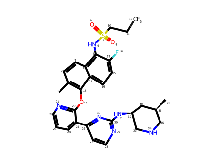 Cc1ccc2c(NS(=O)(=O)CCC(F)(F)F)c(F)ccc2c1Oc1ncccc1-c1ccnc(N[C@@H]2CNC[C@H](C)C2)n1